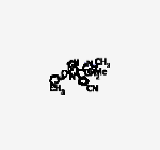 C=C(/C=N\C(=C/C)OC)c1c(-c2ccc(C#N)cc2)nc(OC[C@@H]2CCCN(C)C2)n2ccnc12